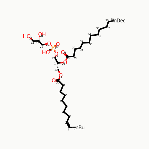 CCCC/C=C\CCCCCCCC(=O)OC[C@H](COP(=O)(O)OC[C@@H](O)CO)OC(=O)CCCCCCCCCCCCCCCCCCCC